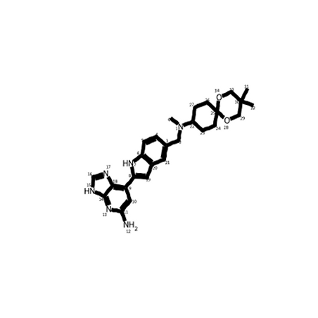 CN(Cc1ccc2[nH]c(-c3cc(N)nc4[nH]cnc34)cc2c1)C1CCC2(CC1)OCC(C)(C)CO2